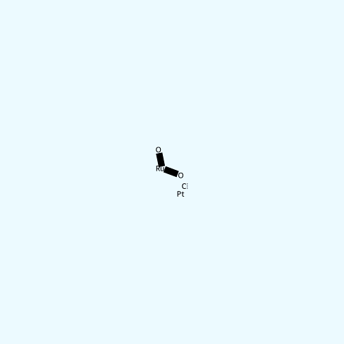 [C].[O]=[Ru]=[O].[Pt]